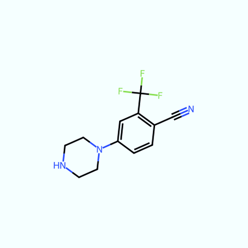 N#Cc1ccc(N2CCNCC2)cc1C(F)(F)F